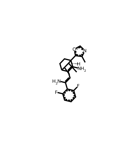 Cc1ncoc1C12CCC(C(/C=C(\N)c3c(F)cccc3F)=C1N)C(C)[C@@H]2C